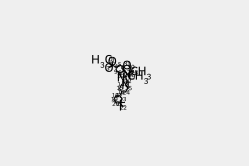 COC(=O)c1cc2c3c(c1)nc(CN1CCC(c4cccc(F)c4)CC1)n3C(C)(C)CO2